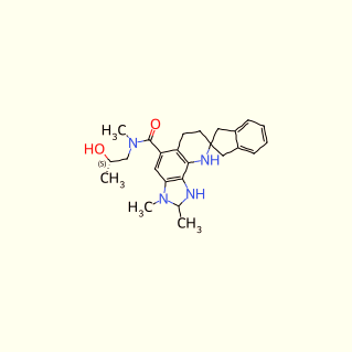 CC1Nc2c(cc(C(=O)N(C)C[C@H](C)O)c3c2NC2(CC3)Cc3ccccc3C2)N1C